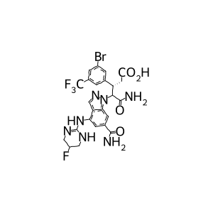 NC(=O)c1cc(NC2=NCC(F)CN2)c2cnn(C(C(N)=O)[C@@H](CC(=O)O)c3cc(Br)cc(C(F)(F)F)c3)c2c1